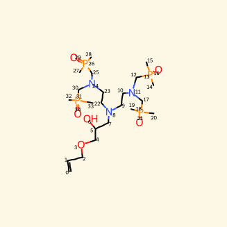 C=CCOCC(O)CN(CCN(CP(C)(C)=O)CP(C)(C)=O)CCN(CP(C)(C)=O)CP(C)(C)=O